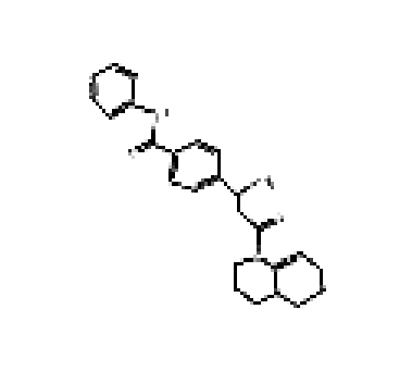 NC(CC(=O)N1CCCC2CCCC=C21)c1ccc(C(=O)Nc2ccncc2)cc1